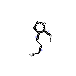 C/C=c1/occ/c1=C/C=C\N